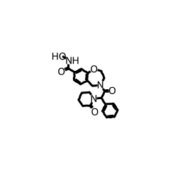 O=C(NO)c1ccc2c(c1)OCCN(C(=O)C(c1ccccc1)N1CCCCC1=O)C2